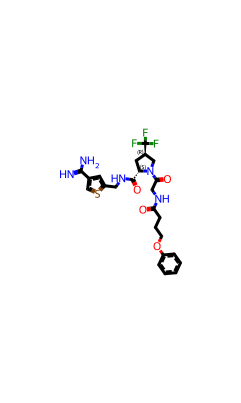 N=C(N)c1csc(CNC(=O)[C@@H]2C[C@@H](C(F)(F)F)CN2C(=O)CNC(=O)CCCOc2ccccc2)c1